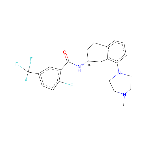 CN1CCN(c2cccc3c2C[C@H](NC(=O)c2cc(C(F)(F)F)ccc2F)CC3)CC1